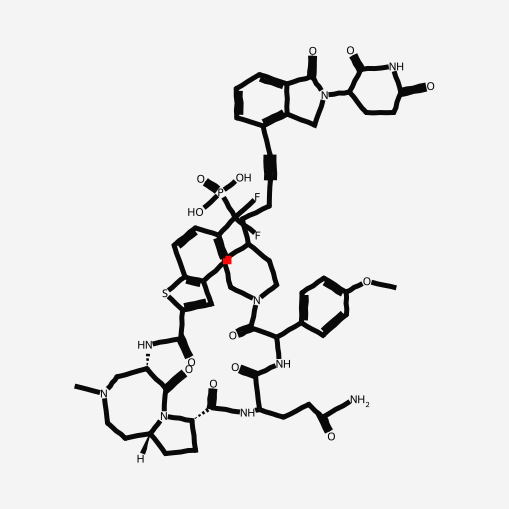 COc1ccc(C(NC(=O)C(CCC(N)=O)NC(=O)[C@@H]2CC[C@@H]3CCN(C)C[C@H](NC(=O)c4cc5cc(C(F)(F)P(=O)(O)O)ccc5s4)C(=O)N32)C(=O)N2CCC(CCC#Cc3cccc4c3CN(C3CCC(=O)NC3=O)C4=O)CC2)cc1